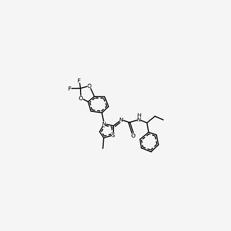 CCC(NC(=O)N=c1sc(C)cn1-c1ccc2c(c1)OC(F)(F)O2)c1ccccc1